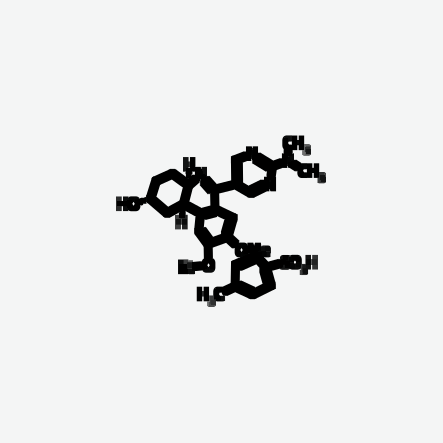 CCOc1cc2c(cc1OC)C(c1cnc(N(C)C)nc1)=N[C@@H]1CC[C@@H](O)C[C@H]21.Cc1ccc(S(=O)(=O)O)cc1